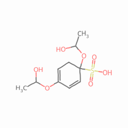 CC(O)OC1=CCC(OC(C)O)(S(=O)(=O)O)C=C1